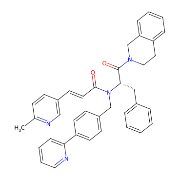 Cc1ccc(/C=C/C(=O)N(Cc2ccc(-c3ccccn3)cc2)[C@@H](Cc2ccccc2)C(=O)N2CCc3ccccc3C2)cn1